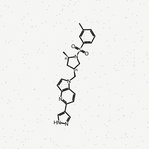 Cc1cccc(S(=O)(=O)N2C[C@@H](Cn3ccc4nc(-c5cn[nH]c5)ccc43)C[C@H]2C)c1